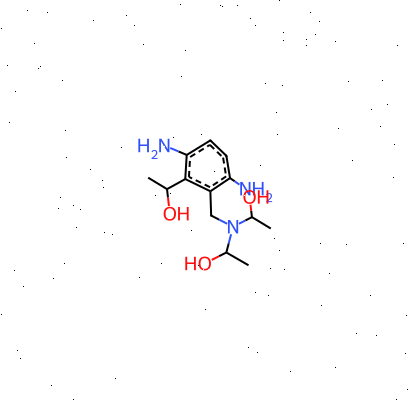 CC(O)c1c(N)ccc(N)c1CN(C(C)O)C(C)O